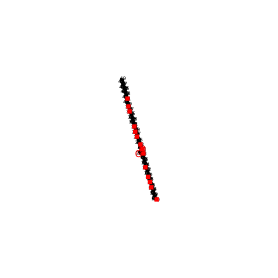 CCCCCCCCC=CCCCCCCCCCC(=O)OCCCCCCCCCCCCCCCCCCCCCCCCCCCC